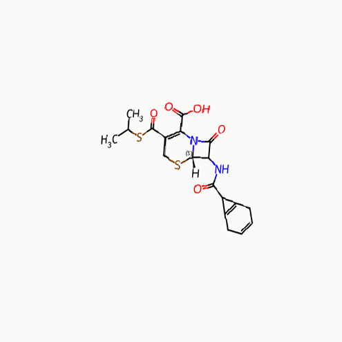 CC(C)SC(=O)C1=C(C(=O)O)N2C(=O)C(NC(=O)C3C4=C3CC=CC4)[C@@H]2SC1